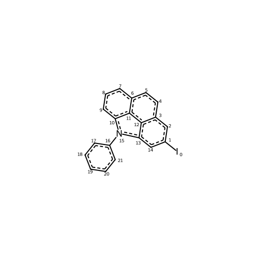 Ic1cc2ccc3cccc4c3c2c(c1)n4-c1ccccc1